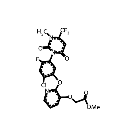 COC(=O)COc1cccnc1Oc1cc(-n2c(=O)cc(C(F)(F)F)n(C)c2=O)c(F)cc1Cl